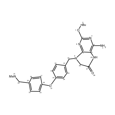 CCCCOc1nc(N)c2c(n1)N(Cc1ccc(Oc3ccc(CNC)cc3)cc1)CC(=O)N2